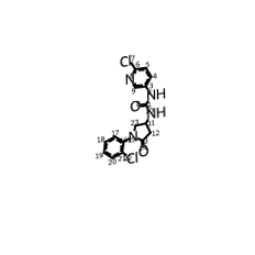 O=C(Nc1ccc(Cl)nc1)NC1CC(=O)N(c2ccccc2Cl)C1